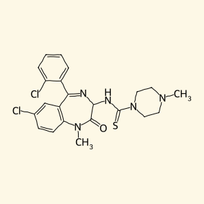 CN1CCN(C(=S)NC2N=C(c3ccccc3Cl)c3cc(Cl)ccc3N(C)C2=O)CC1